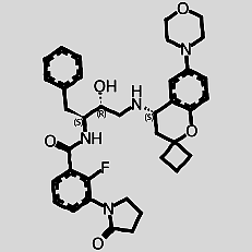 O=C(N[C@@H](Cc1ccccc1)[C@H](O)CN[C@H]1CC2(CCC2)Oc2ccc(N3CCOCC3)cc21)c1cccc(N2CCCC2=O)c1F